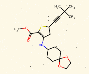 COC(=O)C1=C(NC2CCC3(CC2)OCCO3)CC(C#CC(C)(C)C)S1